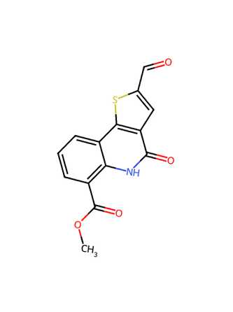 COC(=O)c1cccc2c1[nH]c(=O)c1cc(C=O)sc12